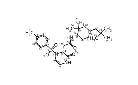 Cc1ccc(S(=O)(=O)N2C=CNC(=O)[C@H]2CC(=O)N[C@H]2CCN(CC(C)(C)C)CC2(C)C)cc1